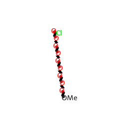 COCCOCCOCCOCCOCCOCCOCCOCCOCC(=O)Cl